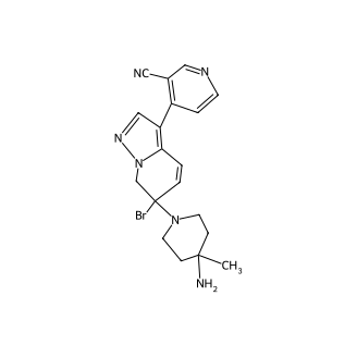 CC1(N)CCN(C2(Br)C=Cc3c(-c4ccncc4C#N)cnn3C2)CC1